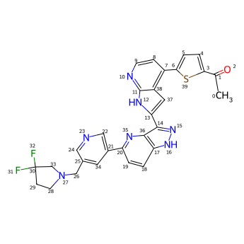 CC(=O)c1ccc(-c2ccnc3[nH]c(-c4n[nH]c5ccc(-c6cncc(CN7CCC(F)(F)C7)c6)nc45)cc23)s1